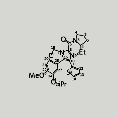 CCC1CCCN1C(=O)c1nc(-c2cccs2)c2n1CCc1cc(OC)c(OC(C)C)cc1-2